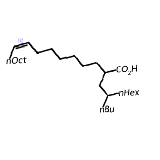 CCCCCCCC/C=C\CCCCCCC(CC(CCCC)CCCCCC)C(=O)O